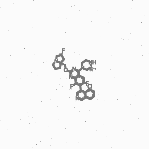 C[C@@H]1CN(c2nc(OC[C@@]34CCCN3C[C@H](F)C4)nc3c(F)c(-c4cncc5cccc(Cl)c45)c(F)cc23)CCN1